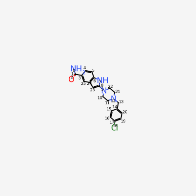 NC(=O)c1ccc2[nH]c(N3CCN(Cc4ccc(Cl)cc4)CC3)cc2c1